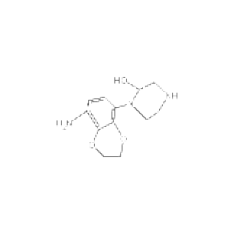 Nc1ccc(N2CCNCC2O)c2c1OCCO2